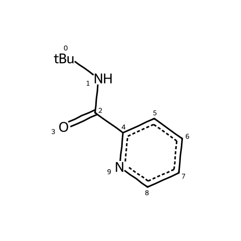 CC(C)(C)NC(=O)c1ccccn1